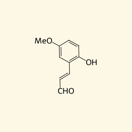 COc1ccc(O)c(C=CC=O)c1